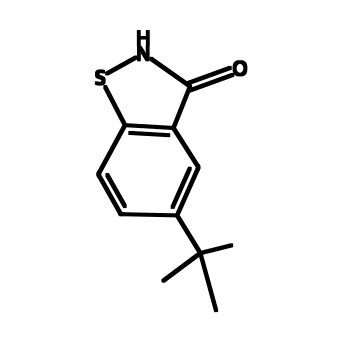 CC(C)(C)c1ccc2s[nH]c(=O)c2c1